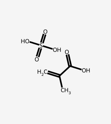 C=C(C)C(=O)O.O=S(=O)(O)O